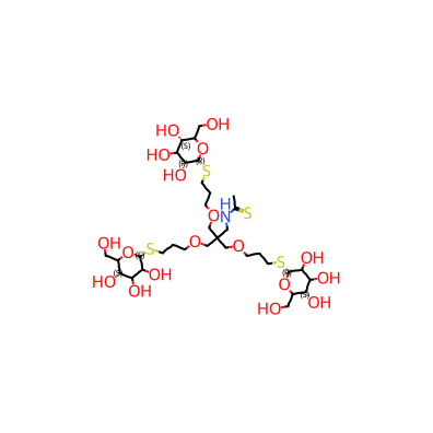 CC(=S)NCC(COCCCS[C@H]1OC(CO)[C@@H](O)C(O)C1O)(COCCCS[C@H]1OC(CO)[C@@H](O)C(O)[C@H]1O)COCCCS[C@@H]1OC(CO)[C@@H](O)C(O)C1O